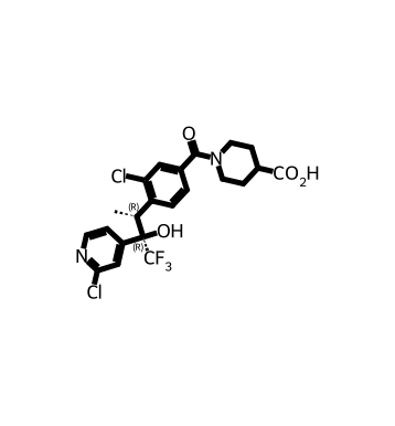 C[C@H](c1ccc(C(=O)N2CCC(C(=O)O)CC2)cc1Cl)[C@@](O)(c1ccnc(Cl)c1)C(F)(F)F